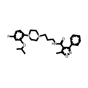 Cc1onc(-c2ccccc2)c1C(=O)NCCCN1CCN(c2ccc(F)cc2OC(C)C)CC1